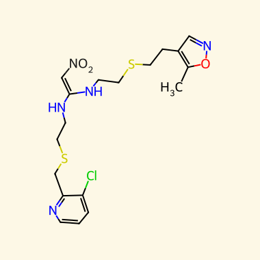 Cc1oncc1CCSCCNC(=C[N+](=O)[O-])NCCSCc1ncccc1Cl